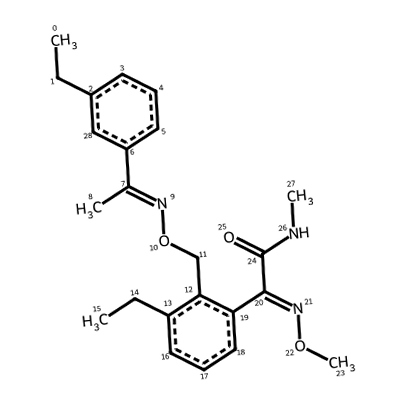 CCc1cccc(/C(C)=N/OCc2c(CC)cccc2/C(=N\OC)C(=O)NC)c1